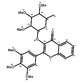 COc1cc(-c2oc3ccccc3c(=O)c2OC2OC(C)C(OC)C(OC)C2OC)cc(OC)c1OC